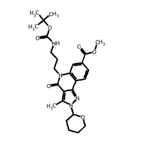 COC(=O)c1ccc2c3nn(C4CCCCO4)c(C)c3c(=O)n(CCCNC(=O)OC(C)(C)C)c2c1